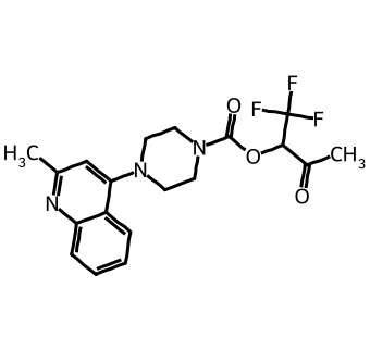 CC(=O)C(OC(=O)N1CCN(c2cc(C)nc3ccccc23)CC1)C(F)(F)F